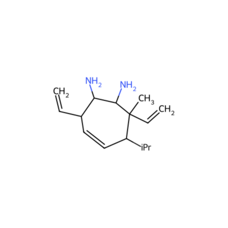 C=CC1C=CC(C(C)C)C(C)(C=C)C(N)C1N